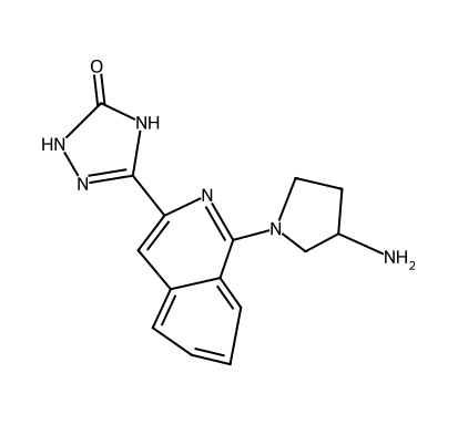 NC1CCN(c2nc(-c3n[nH]c(=O)[nH]3)cc3ccccc23)C1